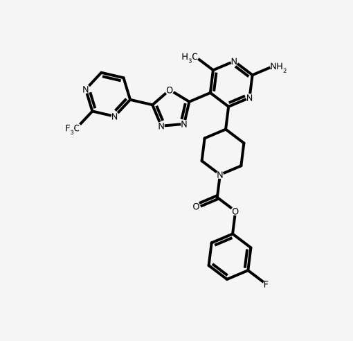 Cc1nc(N)nc(C2CCN(C(=O)Oc3cccc(F)c3)CC2)c1-c1nnc(-c2ccnc(C(F)(F)F)n2)o1